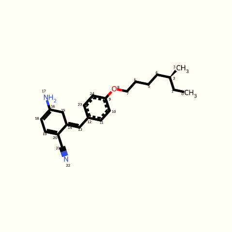 CC[C@H](C)CCCCOc1ccc(C=C2CC(N)=CC=C2C#N)cc1